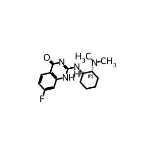 CN(C)[C@@H]1CCCC[C@H]1Nc1nc(=O)c2ccc(F)cc2[nH]1